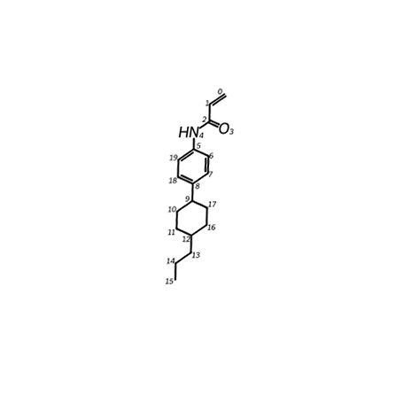 C=CC(=O)Nc1ccc(C2CCC(CCC)CC2)cc1